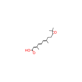 CC(/C=C/C=C(\C)CCC1OC1(C)C)=C\C(=O)O